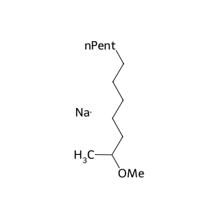 CCCCCCCCCCC(C)OC.[Na]